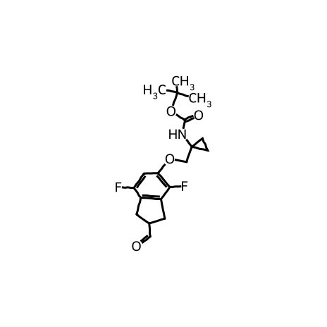 CC(C)(C)OC(=O)NC1(COc2cc(F)c3c(c2F)CC(C=O)C3)CC1